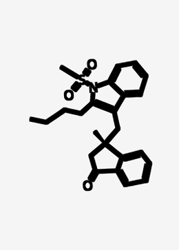 CCCCc1c(C[C@@]2(C)CC(=O)c3ccccc32)c2ccccc2n1S(C)(=O)=O